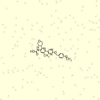 COc1ccc(COc2ncc(-c3nc(C4CCOCC4)c(NC(=O)O)cc3C)cn2)cc1